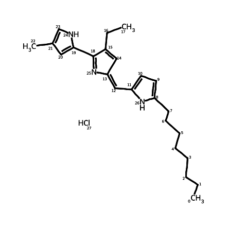 CCCCCCCCc1ccc(/C=C2\C=C(CC)C(c3cc(C)c[nH]3)=N2)[nH]1.Cl